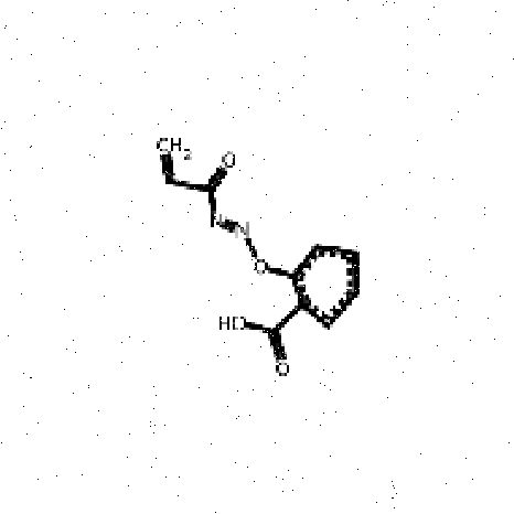 C=CC(=O)N=NOc1ccccc1C(=O)O